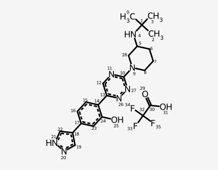 CC(C)(C)NC1CCCN(c2ncc(-c3ccc(-c4cn[nH]c4)cc3O)nn2)C1.O=C(O)C(F)(F)F